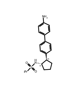 CC(C)S(=O)(=O)N[C@H]1CCC[C@@H]1c1ccc(-c2ccc(N)cc2)cc1